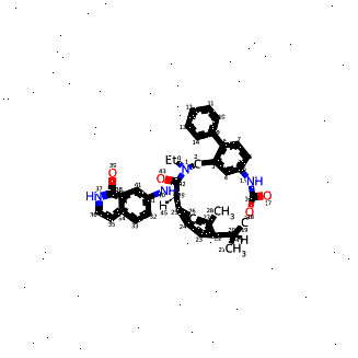 CCN1Cc2cc(ccc2-c2ccccc2)NC(=O)OC[C@H](C)c2ccc(cc2C)[C@@H](Nc2ccc3cc[nH]c(=O)c3c2)C1=O